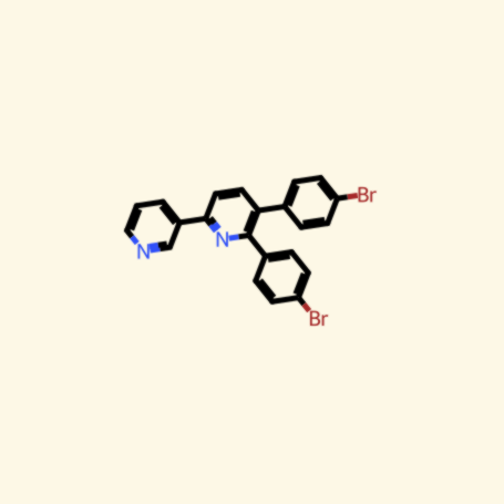 Brc1ccc(-c2ccc(-c3cccnc3)nc2-c2ccc(Br)cc2)cc1